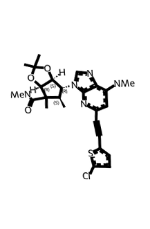 CNC(=O)C1(C)[C@H](C)[C@@H](n2cnc3c(NC)cc(C#Cc4ccc(Cl)s4)nc32)[C@@H]2OC(C)(C)O[C@@H]21